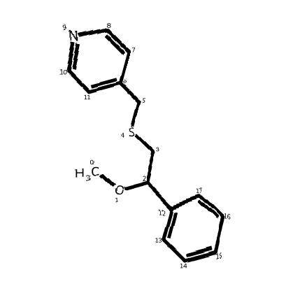 COC(CSCc1ccncc1)c1ccccc1